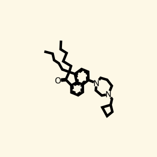 CCCCCC1(CCCCC)C(=O)c2cccc3c(N4CCCN(CC5CCC5)CC4)ccc1c23